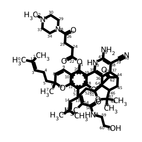 CC(C)=CCCC1(C)C=Cc2c(c(CC=C(C)C)c3c(c2OC(=O)CCC(=O)N2CCN(C)CC2)C2=C4C(C(C#N)=C(N)N2)C2CC5C(C)(C)OC(C/C=C(/C)C(=O)NCCO)(C2=O)C45O3)O1